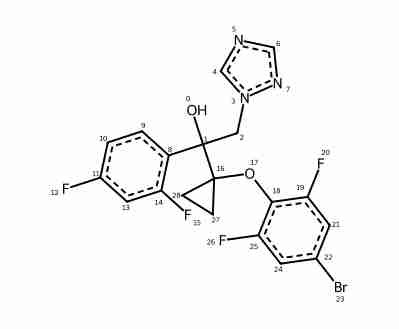 OC(Cn1cncn1)(c1ccc(F)cc1F)C1(Oc2c(F)cc(Br)cc2F)CC1